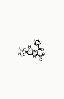 CC(C)(C)Cc1nc([N+](=O)[O-])n(C(=O)n2cncn2)n1